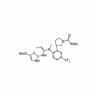 CC=C(NC1NC=C(OC)S1)N1C[C@@]2(CCN(C(=O)NC)C2)c2cc(C(F)(F)F)ccc21